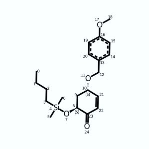 CCCC[Si](C)(C)O[C@H]1C[C@H](OCc2ccc(OC)cc2)C=CC1=O